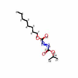 CCCCCCCCOC(=O)N=NC(=O)OC(C)C